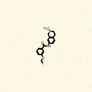 CN1CCc2ccc(NC(=O)c3cccc(OCI)c3)cc2C1